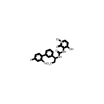 CCn1ccc(O)c(NC(=O)NC(CC(=O)O)c2cccc(-c3ccc(F)cc3F)c2)c1=O